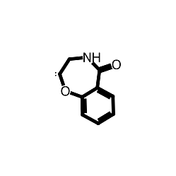 O=C1NC[C]Oc2ccccc21